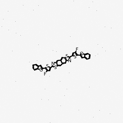 Fc1cc(-c2nc3cc4cc5sc(-c6cc(F)c(-c7cc8ccccc8o7)s6)nc5cc4cc3s2)sc1-c1cc2ccccc2o1